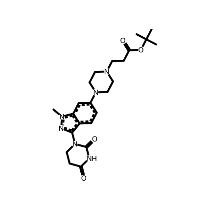 Cn1nc(N2CCC(=O)NC2=O)c2ccc(N3CCN(CCC(=O)OC(C)(C)C)CC3)cc21